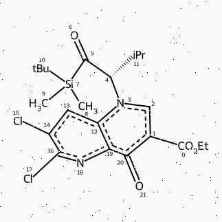 CCOC(=O)c1cn([C@H](C(=O)[Si](C)(C)C(C)(C)C)C(C)C)c2cc(Cl)c(Cl)nc2c1=O